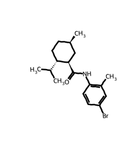 Cc1cc(Br)ccc1NC(=O)[C@@H]1C[C@H](C)CC[C@H]1C(C)C